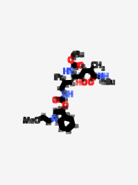 CCCCNC(=O)[C@H](C)C[C@H](O)[C@H](C[C@@H](CNC(=O)Oc1cn(CCOC)c2ccccc12)C(C)C)NC(=O)OC(C)(C)C